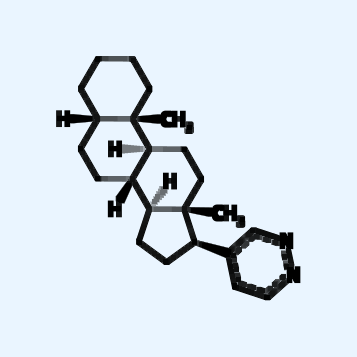 C[C@]12CCCC[C@H]1CC[C@@H]1[C@@H]2CC[C@]2(C)[C@@H](c3ccnnc3)CC[C@@H]12